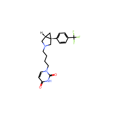 O=c1ccn(CCCCN2C[C@@H]3C[C@]3(c3ccc(C(F)(F)F)cc3)C2)c(=O)[nH]1